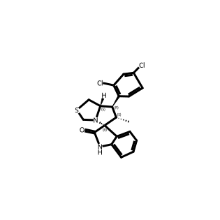 C[C@H]1[C@H](c2ccc(Cl)cc2Cl)[C@H]2CSCN2[C@]12C(=O)Nc1ccccc12